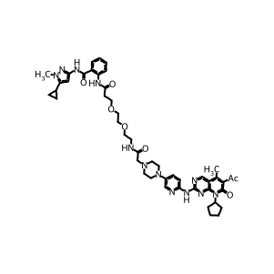 CC(=O)c1c(C)c2cnc(Nc3ccc(N4CCN(CC(=O)NCCOCCOCCC(=O)Nc5ccccc5C(=O)Nc5cc(C6CC6)n(C)n5)CC4)cn3)nc2n(C2CCCC2)c1=O